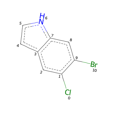 Clc1cc2cc[nH]c2cc1Br